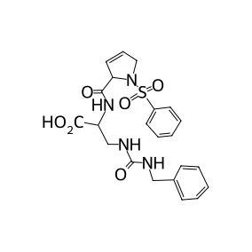 O=C(NCc1ccccc1)NCC(NC(=O)C1C=CCN1S(=O)(=O)c1ccccc1)C(=O)O